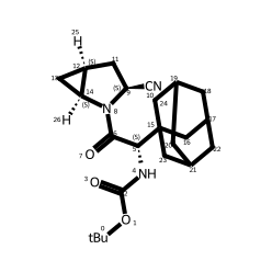 CC(C)(C)OC(=O)N[C@H](C(=O)N1[C@H](C#N)C[C@@H]2C[C@@H]21)C12CC3CC(CC(C3)C1)C2